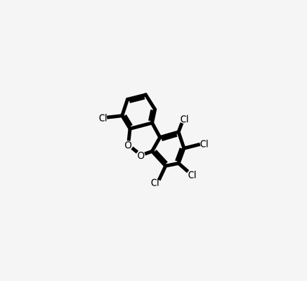 Clc1cccc2c1OOc1c(Cl)c(Cl)c(Cl)c(Cl)c1-2